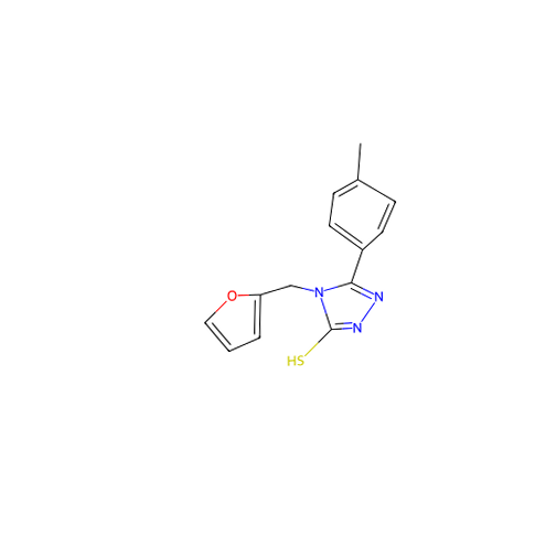 Cc1ccc(-c2nnc(S)n2Cc2ccco2)cc1